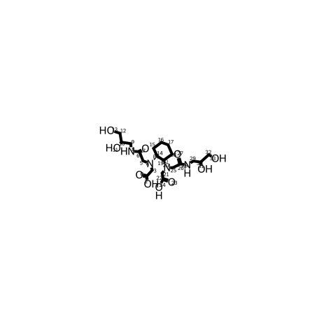 O=C(O)CN(CC(=O)NCC(O)CO)[C@@H]1CCCC[C@H]1N(CC(=O)O)CC(=O)NCC(O)CO